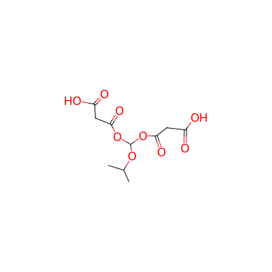 CC(C)OC(OC(=O)CC(=O)O)OC(=O)CC(=O)O